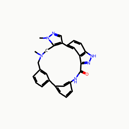 CN1Cc2cccc(c2)-c2cccc(c2)NC(=O)c2n[nH]c3ccc(cc23)-c2cnn(C)c2C1